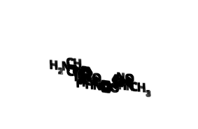 CNC(=O)c1cc(Oc2ccc(NC(=O)Nc3cccc(OCC(C)(C)N)c3C(F)(F)F)cc2)ccn1